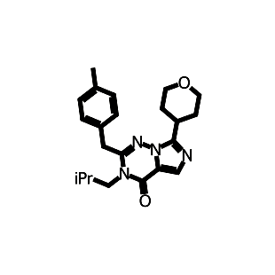 Cc1ccc(Cc2nn3c(C4CCOCC4)ncc3c(=O)n2CC(C)C)cc1